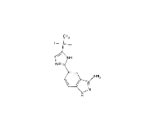 CC(F)(F)c1cnc(-c2ccc3[nH]nc(N)c3c2)[nH]1